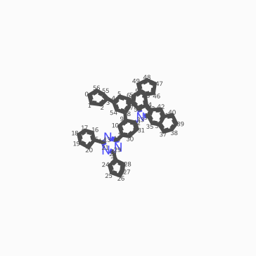 c1ccc(-c2cccc(-c3cc(-c4nc(-c5ccccc5)nc(-c5ccccc5)n4)ccc3-n3c4cc5ccccc5cc4c4c5ccccc5ccc43)c2)cc1